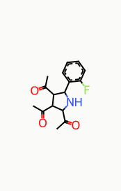 CC(=O)C1NC(c2ccccc2F)C(C(C)=O)C1C(C)=O